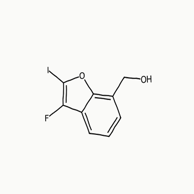 OCc1cccc2c(F)c(I)oc12